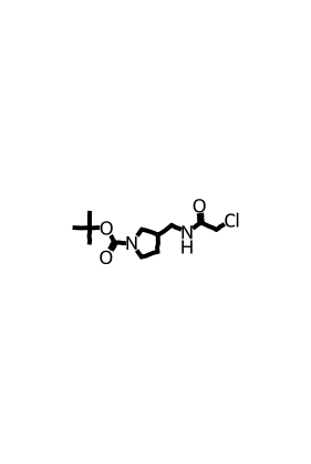 CC(C)(C)OC(=O)N1CCC(CNC(=O)CCl)C1